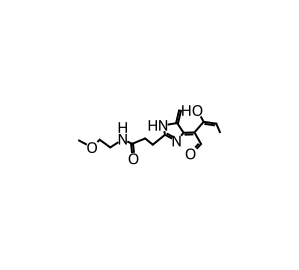 C=c1[nH]c(CCC(=O)NCCOC)n/c1=C(C=O)/C(O)=C\C